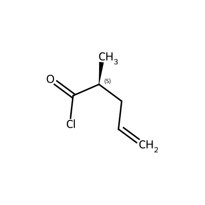 C=CC[C@H](C)C(=O)Cl